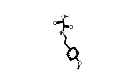 COc1ccc(CCNC(=O)C(=O)O)cc1